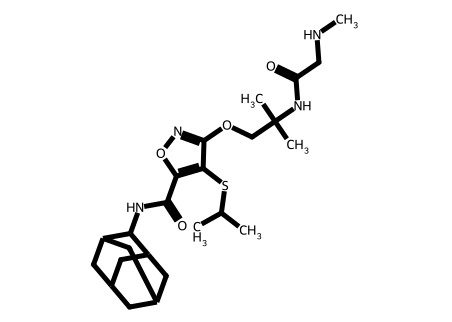 CNCC(=O)NC(C)(C)COc1noc(C(=O)NC2C3CC4CC(C3)CC2C4)c1SC(C)C